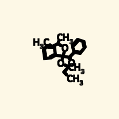 CCC(C)OC(OC(C)CC)(C(=O)c1ccccc1)c1ccccc1